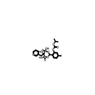 CC(C)OC(=O)Oc1cc(F)ccc1C1OP(=O)(O)C(O)(Cc2cccnc2)P(=O)(O)O1